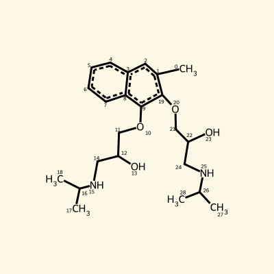 Cc1cc2ccccc2c(OCC(O)CNC(C)C)c1OCC(O)CNC(C)C